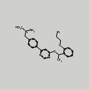 CC(C)CCOc1ccccc1C(Oc1cc(-c2ccc(C[C@H](N)C(=O)O)cc2)ncn1)C(F)(F)F